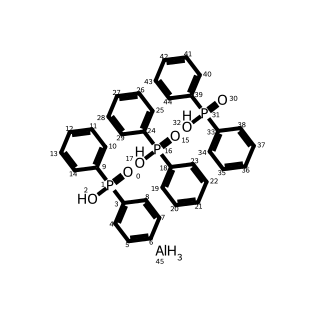 O=P(O)(c1ccccc1)c1ccccc1.O=P(O)(c1ccccc1)c1ccccc1.O=P(O)(c1ccccc1)c1ccccc1.[AlH3]